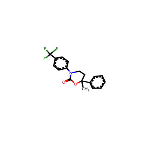 CC1(c2ccccc2)CCN(c2ccc(C(F)(F)F)cc2)C(=O)O1